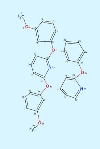 FC(F)(F)Oc1cccc(Oc2cccc(Oc3cccc(OC(F)(F)F)c3)n2)c1.c1ccc(Oc2ccccn2)cc1